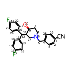 N#Cc1ccc(CN2CCC(=O)C(C(c3ccc(F)cc3)c3ccc(F)cc3)C2)cc1